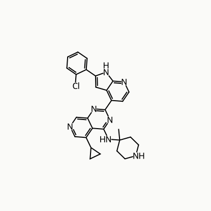 CC1(Nc2nc(-c3ccnc4[nH]c(-c5ccccc5Cl)cc34)nc3cncc(C4CC4)c23)CCNCC1